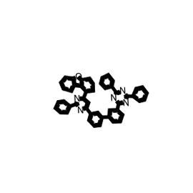 c1ccc(-c2nc(-c3cccc(-c4cccc(-c5nc(-c6ccccc6)nc(-c6ccccc6)n5)c4)c3)cc(-c3cccc4oc5ccccc5c34)n2)cc1